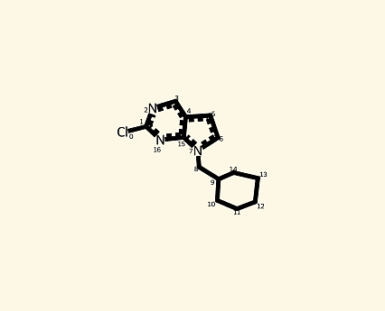 Clc1ncc2ccn(CC3CCCCC3)c2n1